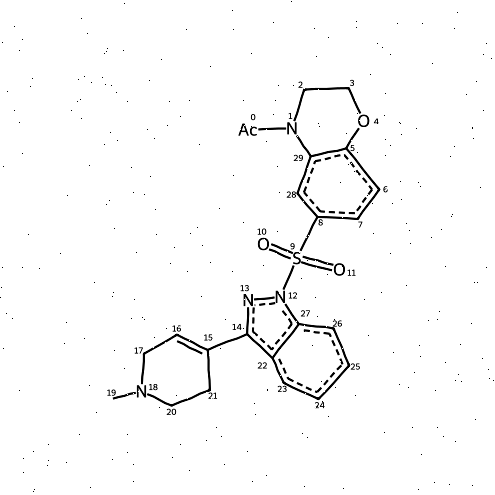 CC(=O)N1CCOc2ccc(S(=O)(=O)n3nc(C4=CCN(C)CC4)c4ccccc43)cc21